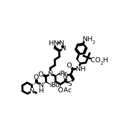 CC[C@H](C)[C@H](NC(=O)[C@H]1CCCCN1C)C(=O)N(CCCCc1c[nH]nn1)[C@H](C[C@@H](OC(C)=O)c1nc(C(=O)N[C@@H](Cc2ccc(N)cc2)CC(C)(C)C(=O)O)cs1)C(C)C